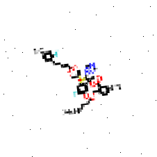 CNCCCC(=O)OCc1ccc(C#N)cc1C(=O)OC(Cn1cncn1)(c1ccc(F)cc1F)C(C)SC1COC(C=CC=Cc2ccc(C#N)cc2F)OC1